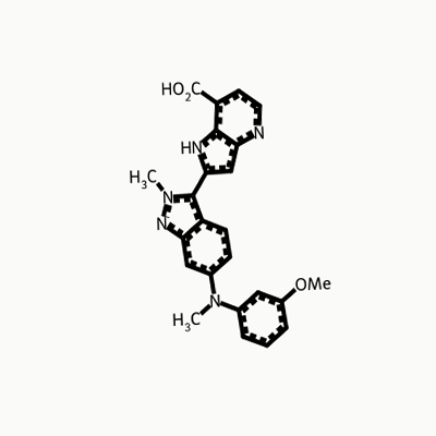 COc1cccc(N(C)c2ccc3c(-c4cc5nccc(C(=O)O)c5[nH]4)n(C)nc3c2)c1